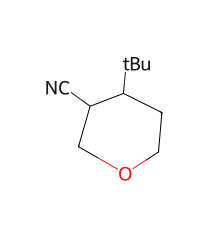 CC(C)(C)C1CCOCC1C#N